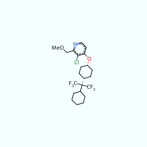 COCc1nccc(O[C@H]2CC[C@@H](C(C3CCCCC3)(C(F)(F)F)C(F)(F)F)CC2)c1Cl